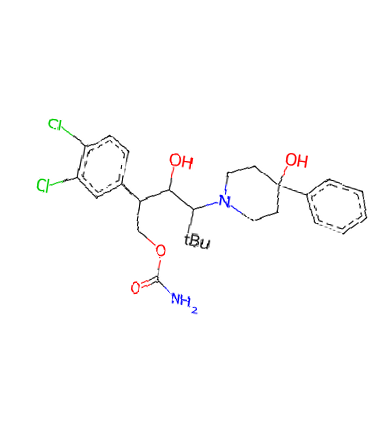 CC(C)(C)C(C(O)C(COC(N)=O)c1ccc(Cl)c(Cl)c1)N1CCC(O)(c2ccccc2)CC1